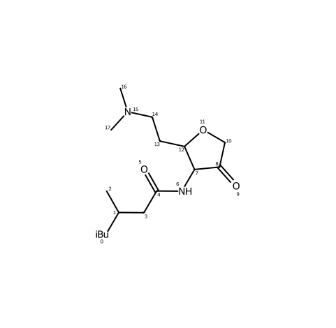 [CH2]CC(C)C(C)CC(=O)NC1C(=O)COC1CCN(C)C